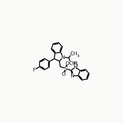 CC(C)N1c2ccccc2C(c2ccc(F)cc2)C1CS(=O)(=O)c1nc2ccccc2[nH]1